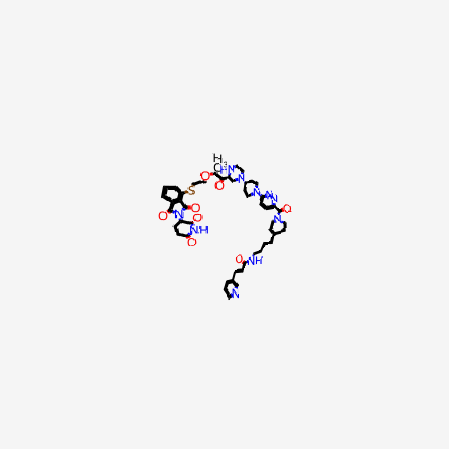 CC(OCCSc1cccc2c1C(=O)N(C1CCC(=O)NC1=O)C2=O)C(=O)C1CN(C2CCN(c3ccc(C(=O)N4CCC(CCCCNC(=O)/C=C/c5cccnc5)CC4)nn3)CC2)CCN1